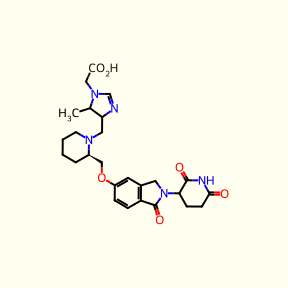 CC1C(CN2CCCC[C@@H]2COc2ccc3c(c2)CN(C2CCC(=O)NC2=O)C3=O)N=CN1CC(=O)O